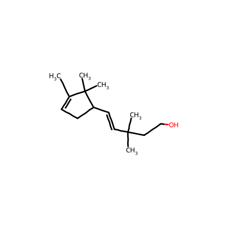 CC1=CCC(C=CC(C)(C)CCO)C1(C)C